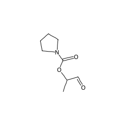 CC(C=O)OC(=O)N1CCCC1